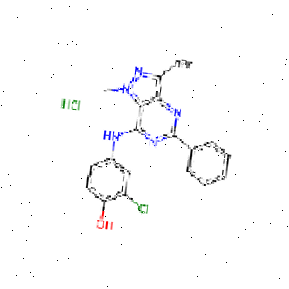 CCCc1nn(C)c2c(Nc3ccc(O)c(Cl)c3)nc(-c3ccccc3)nc12.Cl